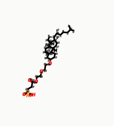 CC(C)CCC[C@@H](C)[C@H]1CC[C@H]2[C@@H]3CC=C4C[C@@H](OCCOCCOC(=O)CC[PH](=O)O)CC[C@]4(C)[C@H]3CC[C@]12C